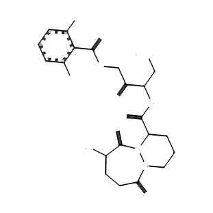 CC(=O)NC1CCC(=O)N2CCCC(C(=O)NC(CC(=O)O)C(=O)COC(=O)c3c(Cl)cccc3Cl)N2C1=O